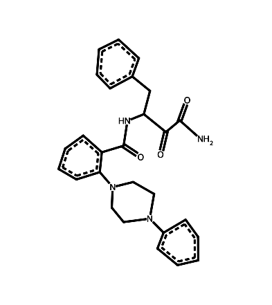 NC(=O)C(=O)C(Cc1ccccc1)NC(=O)c1ccccc1N1CCN(c2ccccc2)CC1